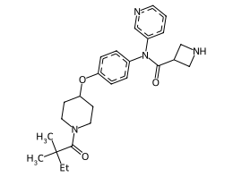 CCC(C)(C)C(=O)N1CCC(Oc2ccc(N(C(=O)C3CNC3)c3cccnc3)cc2)CC1